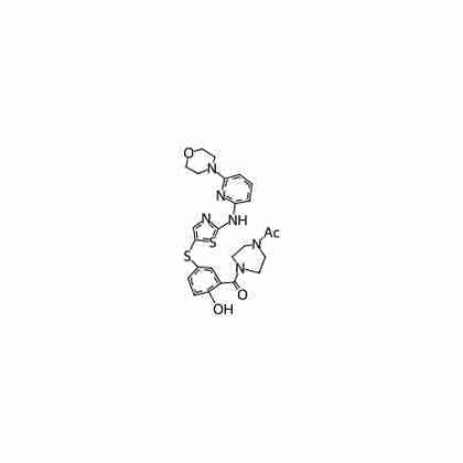 CC(=O)N1CCN(C(=O)c2cc(Sc3cnc(Nc4cccc(N5CCOCC5)n4)s3)ccc2O)CC1